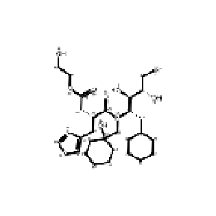 CC(C)C[C@H](O)[C@H](O)[C@H](CC1CCCCC1)N(CC1(O)CCCCC1)C(=O)[C@@H](CC(=O)NCCO)Cc1cscn1